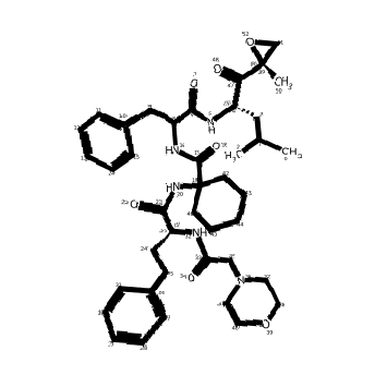 CC(C)C[C@H](NC(=O)C(Cc1ccccc1)NC(=O)C1(NC(=O)[C@H](CCc2ccccc2)NC(=O)CN2CCOCC2)CCCCC1)C(=O)[C@@]1(C)CO1